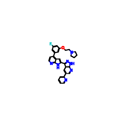 Fc1cc(OCCN2CCCC2)cc(-c2ccnc3[nH]c(-c4n[nH]c5ncc(-c6ccccn6)cc45)cc23)c1